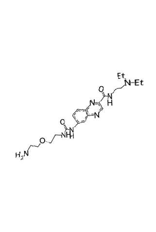 CCN(CC)CCNC(=O)c1cnc2cc(NC(=O)NCCOCCN)ccc2n1